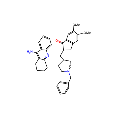 COc1cc2c(cc1OC)C(=O)C(CC1CCN(Cc3ccccc3)CC1)C2.Nc1c2c(nc3ccccc13)CCCC2